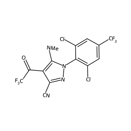 CNc1c(C(=O)C(F)(F)F)c(C#N)nn1-c1c(Cl)cc(C(F)(F)F)cc1Cl